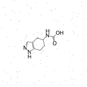 O=C(O)NC1CCc2[nH]ncc2C1